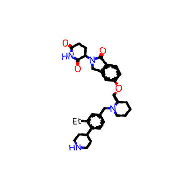 CCc1cc(CN2CCCCC2COc2ccc3c(c2)CN(C2CCC(=O)NC2=O)C3=O)ccc1C1CCNCC1